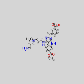 COC(=O)c1ccc2c(c1)[nH]c1nc(Cc3cccc(C(=O)O)c3)nc(NCCCN(C)CCCN)c12